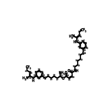 NC(=NCC(F)(F)F)Nc1ncnc(SCCCCCNC(=O)/C=C\C(=O)OC(N)CCCCSc2ncnc(NC(N)=NCC(F)(F)F)n2)n1